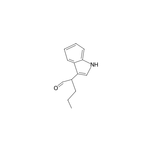 CCCC(C=O)c1c[nH]c2ccccc12